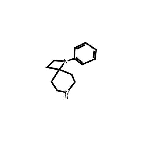 c1ccc(N2CCC23CCNCC3)cc1